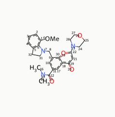 COc1cccc2c1N(Cc1cc(C(=O)N(C)C)cc3c(=O)cc(N4CCOCC4)oc13)CC2